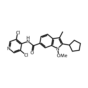 COn1c(C2CCCC2)c(C)c2ccc(C(=O)Nc3c(Cl)cncc3Cl)cc21